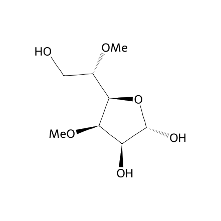 CO[C@@H]1[C@H](O)[C@@H](O)O[C@@H]1[C@H](CO)OC